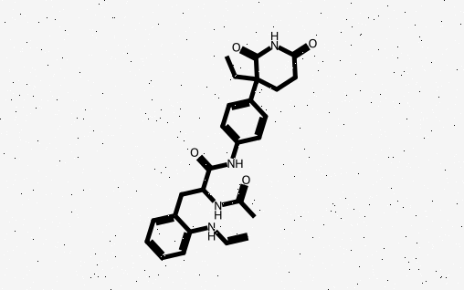 C=CNc1ccccc1CC(NC(C)=O)C(=O)Nc1ccc(C2(CC)CCC(=O)NC2=O)cc1